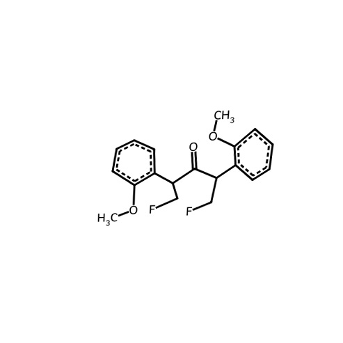 COc1ccccc1C(CF)C(=O)C(CF)c1ccccc1OC